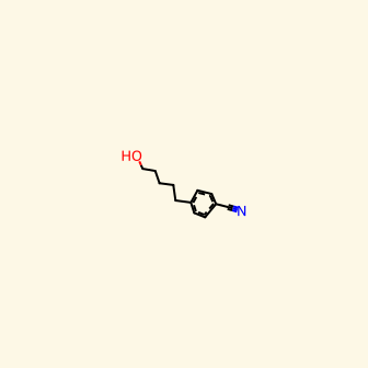 N#Cc1ccc(CCCCCO)cc1